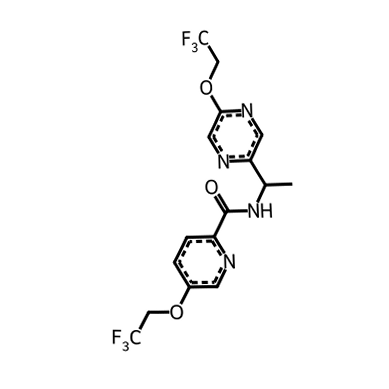 CC(NC(=O)c1ccc(OCC(F)(F)F)cn1)c1cnc(OCC(F)(F)F)cn1